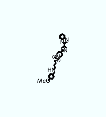 COc1ccc(CNCCCCS(=O)(=O)N2CCC(n3cc(-c4cnc5ccccc5n4)cn3)CC2)cc1